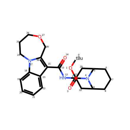 CC(C)(C)OC(=O)N1C2CCCC1CC(NC(=O)c1c3n(c4ccccc14)CCCOC3)C2